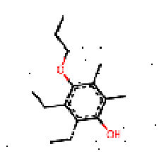 CCCOc1c(C)c(C)c(O)c(CC)c1CC